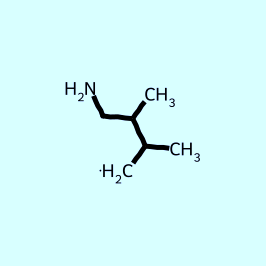 [CH2]C(C)C(C)CN